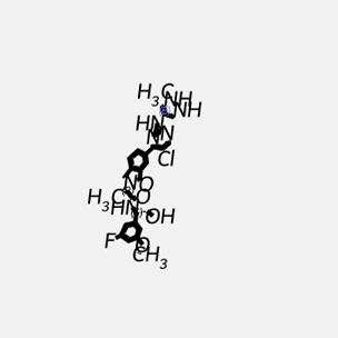 CN/C=C(\C=N)Nc1ncc(Cl)c(-c2ccc3c(c2)C(=O)N([C@H](C)C(=O)N[C@H](CO)c2cc(F)cc(OC)c2)C3)n1